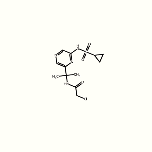 CC(C)(NC(=O)CCl)c1cncc(NS(=O)(=O)C2CC2)n1